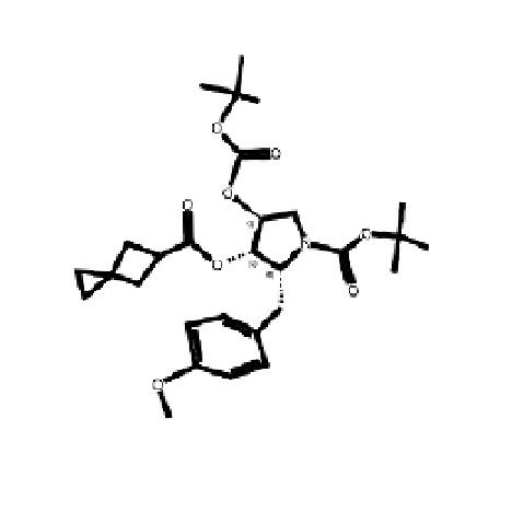 COc1ccc(C[C@@H]2[C@H](OC(=O)C3CC4(CC4)C3)[C@@H](OC(=O)OC(C)(C)C)CN2C(=O)OC(C)(C)C)cc1